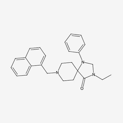 CCN1CN(c2ccccc2)C2(CCN(Cc3cccc4ccccc34)CC2)C1=O